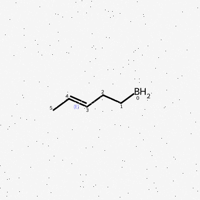 BCC/C=C/C